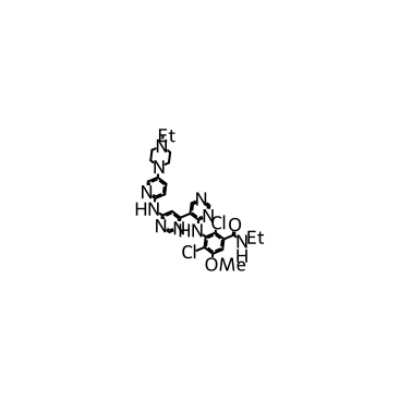 CCNC(=O)c1cc(OC)c(Cl)c(Nc2ncncc2-c2cc(Nc3ccc(N4CCN(CC)CC4)cn3)ncn2)c1Cl